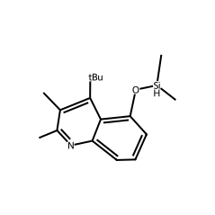 Cc1nc2cccc(O[SiH](C)C)c2c(C(C)(C)C)c1C